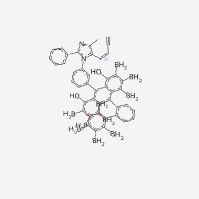 Bc1c(B)c(C)c(B)c(-c2ccccc2-c2c3c(B)c(B)c(B)c(O)c3c(-c3cccc(-n4c(-c5ccccc5)nc(C)c4/C=C\C#C)c3)c3c(O)c(B)c(B)c(B)c23)c1B